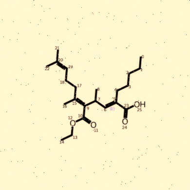 CCCCC/C(=C\C(C)C(C(=O)OCC)=C(C)CCC=C(C)C)C(=O)O